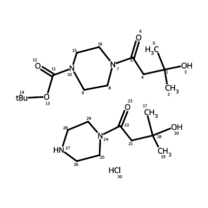 CC(C)(O)CC(=O)N1CCN(C(=O)OC(C)(C)C)CC1.CC(C)(O)CC(=O)N1CCNCC1.Cl